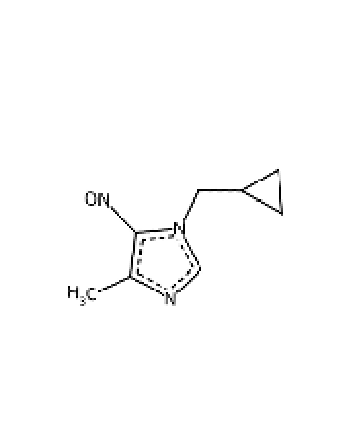 Cc1ncn(CC2CC2)c1N=O